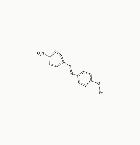 CCOc1ccc(N=Nc2ccc([N+](=O)[O-])cc2)cc1